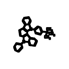 CC(C)(C)c1ccc(-n2c3ccccc3c3ccc4c(c5ccccc5n4-c4ccccc4)c32)cc1